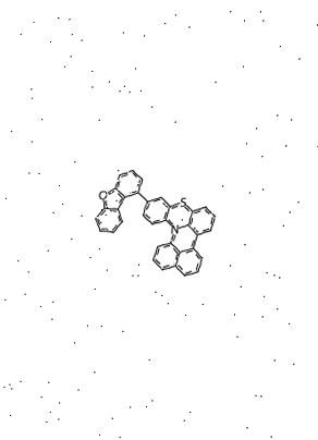 c1ccc2c(c1)oc1cccc(-c3ccc4c(c3)sc3cccc5c3-n4c3cccc4cccc5c43)c12